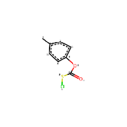 Cc1ccc(OC(=O)SCl)cc1